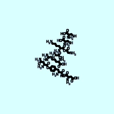 N=C(N)NCCC[C@H](N)C(=O)O.NC(=O)C[C@H](N)C(=O)Oc1ccc(C[C@H](N)C(=O)O)cc1.NCC(=O)O.NCCCC[C@H](N)C(=O)OC(=O)CN.N[C@@H](CC(=O)O)C(=O)O.N[C@@H](CS)C(=O)O.N[C@@H](CS)C(=O)O